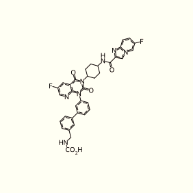 O=C(O)NCc1cccc(-c2cccc(-n3c(=O)n(C4CCC(NC(=O)c5cn6cc(F)ccc6n5)CC4)c(=O)c4cc(F)cnc43)c2)c1